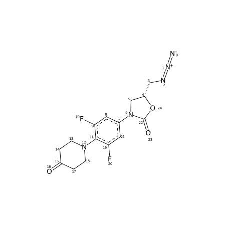 [N-]=[N+]=NC[C@H]1CN(c2cc(F)c(N3CCC(=O)CC3)c(F)c2)C(=O)O1